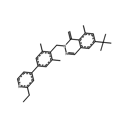 C=C1c2c(C)cc(C(C)(C)C)cc2C=NN1Cc1c(C)cc(-c2ccnc(CC)c2)cc1C